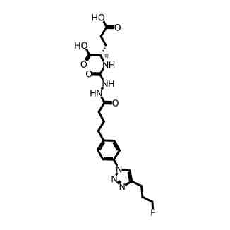 O=C(O)CC[C@H](NC(=O)NNC(=O)CCCc1ccc(-n2cc(CCCF)nn2)cc1)C(=O)O